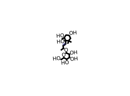 CC(/C=C/C1(O)C(C)(C)CC(O)CC1(C)O)OC1OC(CO)C(O)C(O)C1O